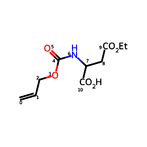 C=CCOC(=O)NC(CC(=O)OCC)C(=O)O